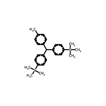 Cc1ccc(C(c2ccc([Si](C)(C)C)cc2)c2ccc([Si](C)(C)C)cc2)cc1